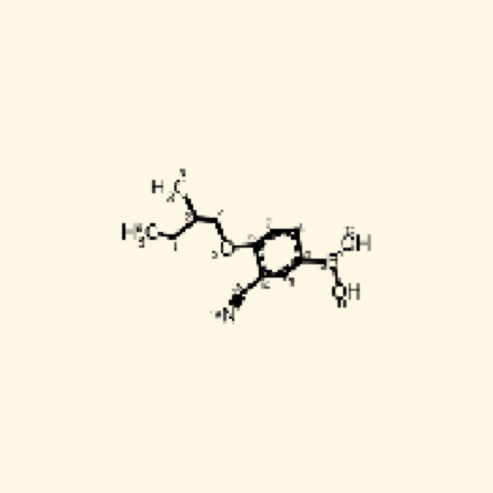 CCC(C)COc1ccc(B(O)O)cc1C#N